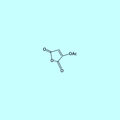 CC(=O)OC1=CC(=O)OC1=O